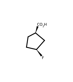 O=C(O)[C@@H]1CC[C@H](F)C1